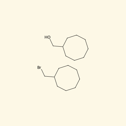 BrCC1CCCCCCC1.OCC1CCCCCCC1